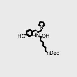 CCCCCCCCCCCCCCCC(O)N[C@@H](Cc1ccc(O)cc1)CN1CCCC1